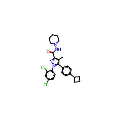 Cc1c(C(=O)NN2CCCCC2)nn(-c2ccc(Cl)cc2Cl)c1-c1ccc(C2CCC2)cc1